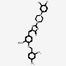 COc1cc(/C=C2/SC(N3CCN(c4ccc(Cl)c(Cl)c4)CC3)=NC2=O)ccc1OCc1ccc(C(F)(F)F)cc1C(F)(F)F